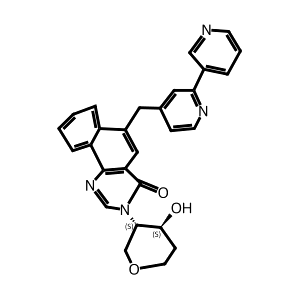 O=c1c2cc(Cc3ccnc(-c4cccnc4)c3)c3ccccc3c2ncn1[C@H]1COCC[C@@H]1O